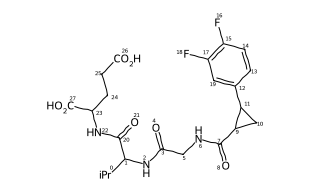 CC(C)C(NC(=O)CNC(=O)C1CC1c1ccc(F)c(F)c1)C(=O)NC(CCC(=O)O)C(=O)O